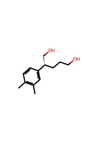 Cc1ccc([C@H](CO)CCCO)cc1C